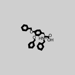 O=C(O)[C@H](Cc1ccc(OCc2ccccc2)c(OCc2ccccc2)c1)NCc1ccccc1